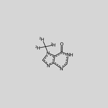 [2H]C([2H])([2H])n1cnc2nc[nH]c(=O)c21